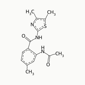 CC(=O)Nc1cc(C)ccc1C(=O)Nc1nc(C)c(C)s1